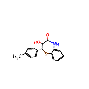 Cc1ccc([C@H]2Sc3ccccc3NC(=O)[C@H]2O)cc1